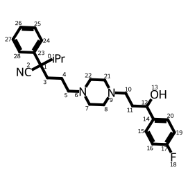 CC(C)C(C#N)(CCCN1CCN(CCC(O)c2ccc(F)cc2)CC1)c1ccccc1